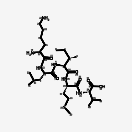 CC[C@H](C)[C@H](NC(=O)[C@H](CC(C)C)NC(=O)[C@@H](N)CCCCN)C(=O)N[C@@H](CCSC)C(=O)N[C@H](C(=O)O)C(C)C